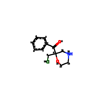 O=C(c1ccccc1)C1(CCl)CNCCO1